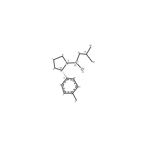 Cc1ccc([C@@H]2CCCN2[S+]([O-])CC(C)C)cc1